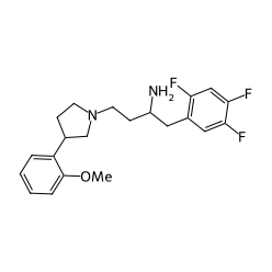 COc1ccccc1C1CCN(CCC(N)Cc2cc(F)c(F)cc2F)C1